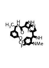 CNc1cc(F)ccc1C(=N)c1cnc2[nH]cc(C(=O)N[C@@H](C)c3cccc(OC(F)(F)F)c3)c2n1